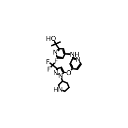 CC(C)(O)c1cc(Nc2cc(Oc3cc(C(F)(F)F)nn3C3CCCNC3)ccn2)ccn1